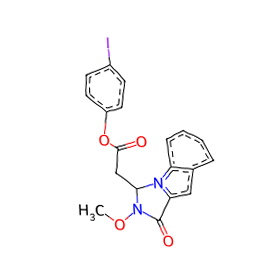 CON1C(=O)c2cc3ccccc3n2C1CC(=O)Oc1ccc(I)cc1